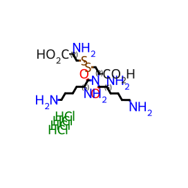 Cl.Cl.Cl.Cl.NCCCC[C@H](N)C(=O)N(C(=O)[C@@H](N)CCCCN)[C@@H](CSSC[C@H](N)C(=O)O)C(=O)O